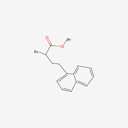 CC(=O)C(CCc1cccc2ccccc12)C(=O)OC(C)C